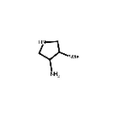 CSC1CNCC1N